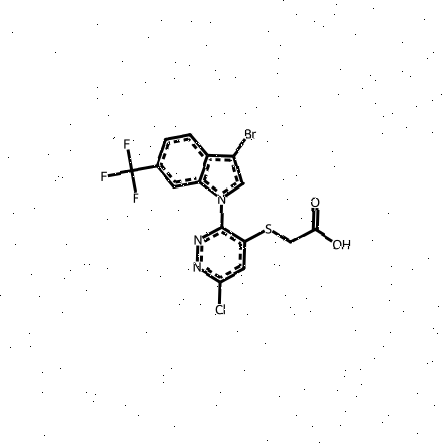 O=C(O)CSc1cc(Cl)nnc1-n1cc(Br)c2ccc(C(F)(F)F)cc21